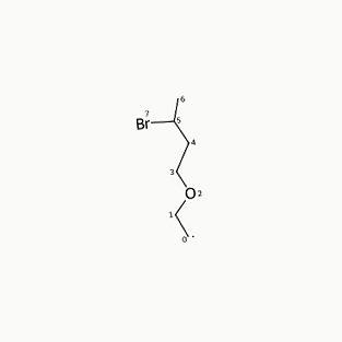 [CH2]COCCC(C)Br